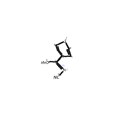 CO/C(=N\C#N)c1ccsc1